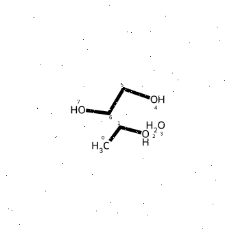 CCO.O.OCCO